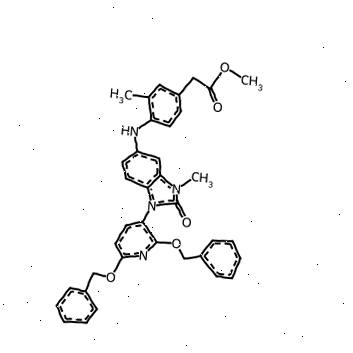 COC(=O)Cc1ccc(Nc2ccc3c(c2)n(C)c(=O)n3-c2ccc(OCc3ccccc3)nc2OCc2ccccc2)c(C)c1